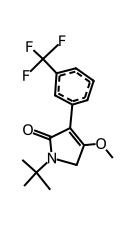 COC1=C(c2cccc(C(F)(F)F)c2)C(=O)N(C(C)(C)C)C1